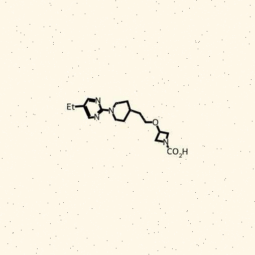 CCc1cnc(N2CCC(CCOC3CN(C(=O)O)C3)CC2)nc1